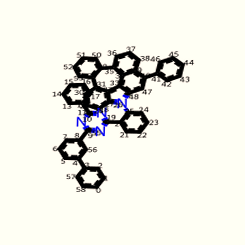 c1ccc(-c2cccc(-c3nc(-c4ccccc4)nc(-c4ccccc4-n4c5cccc6c5c5c7c(cccc7c(-c7ccccc7)cc54)-c4ccccc4-6)n3)c2)cc1